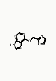 [c]1nc(OCc2ncco2)c2nc[nH]c2n1